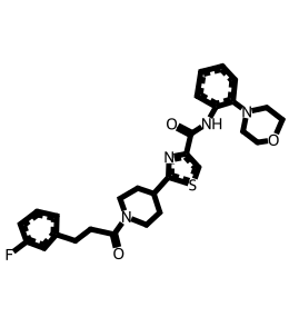 O=C(Nc1ccccc1N1CCOCC1)c1csc(C2CCN(C(=O)CCc3cccc(F)c3)CC2)n1